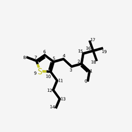 C/C=C(\CCc1cc(C)sc1CCCC)CC(C)(C)C